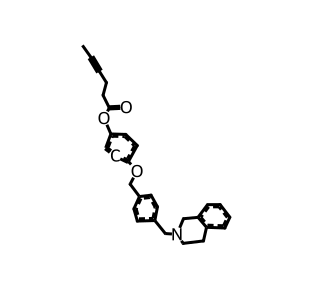 CC#CCCC(=O)Oc1ccc(OCc2ccc(CN3CCc4ccccc4C3)cc2)cc1